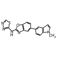 Cn1ccc2cc(-c3ccc4oc(Nc5nncs5)nc4c3)ccc21